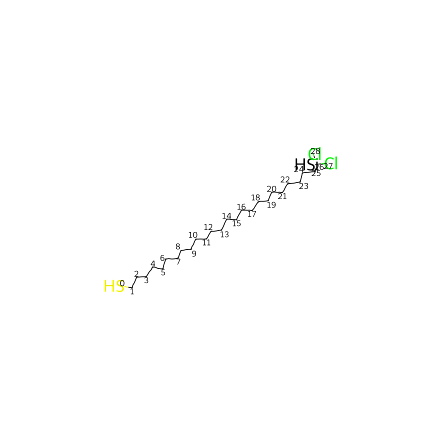 SCCCCCCCCCCCCCCCCCCCCCCCCC[SiH](Cl)Cl